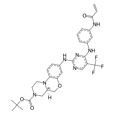 C=CC(=O)Nc1cccc(Nc2nc(Nc3ccc4c(c3)OC[C@H]3CN(C(=O)OC(C)(C)C)CCN43)ncc2C(F)(F)F)c1